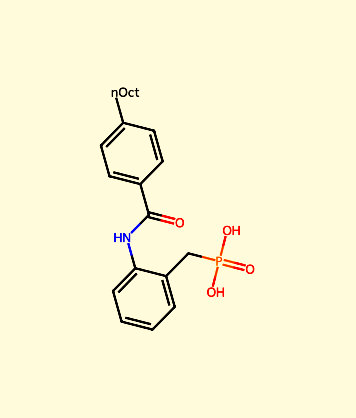 CCCCCCCCc1ccc(C(=O)Nc2ccccc2CP(=O)(O)O)cc1